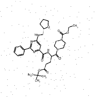 CCOC(=O)N1CCN(C(=O)C(CCC(=O)OC(C)(C)C)NC(=O)c2cc(NC[C@@H]3CCCO3)nc(-c3ccccc3)n2)CC1